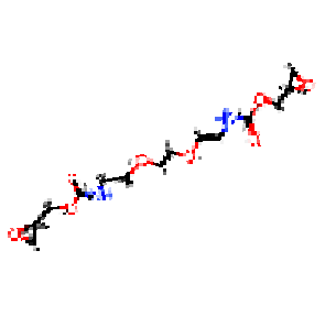 O=C(NCCOCCOCCNC(=O)OCC1CO1)OCC1CO1